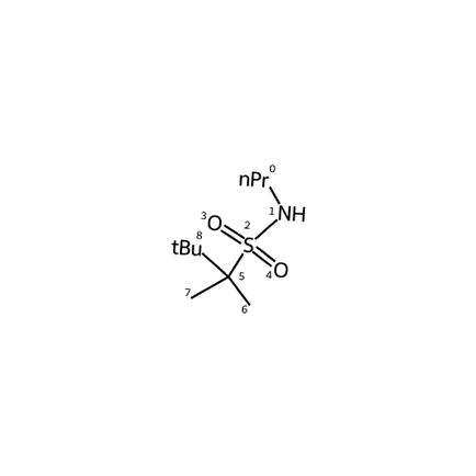 CCCNS(=O)(=O)C(C)(C)C(C)(C)C